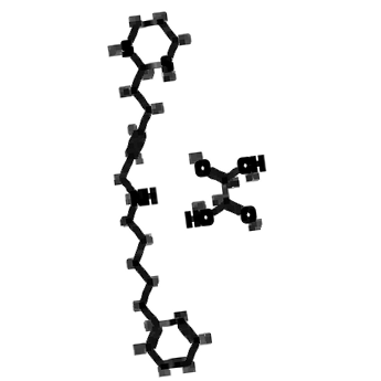 C(#CCNCCCCCc1ccccc1)CCC1SCCCS1.O=C(O)C(=O)O